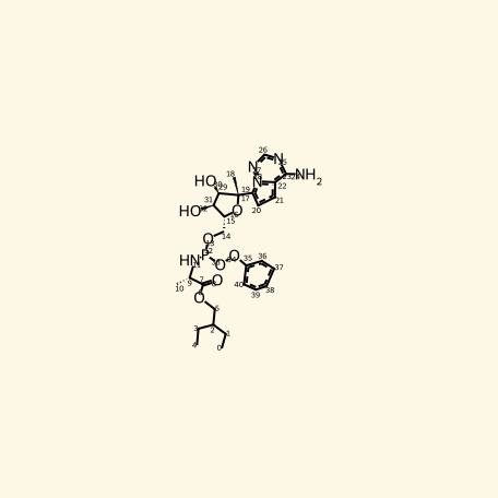 CCC(CC)COC(=O)[C@H](C)N[P@](OC[C@H]1O[C@@](C)(c2ccc3c(N)ncnn23)[C@H](O)[C@@H]1O)OOc1ccccc1